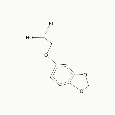 CC[C@@H](O)COc1ccc2c(c1)OCO2